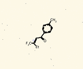 CC/C(=C\C(=O)c1ccc(C)cc1)C(F)(F)F